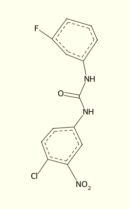 O=C(Nc1cccc(F)c1)Nc1ccc(Cl)c([N+](=O)[O-])c1